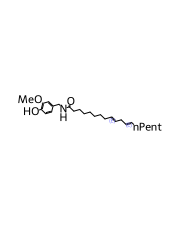 CCCCC/C=C/C/C=C/CCCCCCCC(=O)NCc1ccc(O)c(OC)c1